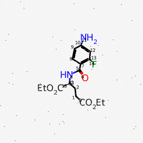 CCOC(=O)CC[C@H](NC(=O)c1ccc(N)cc1F)C(=O)OCC